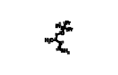 CC(CO[Si](C(C)C)(C(C)C)C(C)C)N=NN